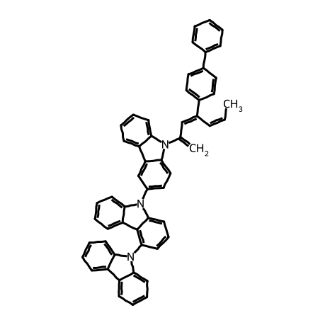 C=C(/C=C(\C=C/C)c1ccc(-c2ccccc2)cc1)n1c2ccccc2c2cc(-n3c4ccccc4c4c(-n5c6ccccc6c6ccccc65)cccc43)ccc21